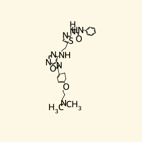 CN(C)CCCOC1=CC=C(c2nc3c(NCCc4cnc(NC(=O)Nc5ccccc5)s4)ncnc3o2)CC1